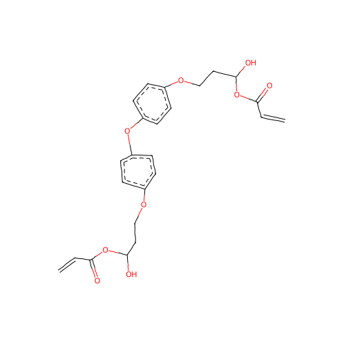 C=CC(=O)OC(O)CCOc1ccc(Oc2ccc(OCCC(O)OC(=O)C=C)cc2)cc1